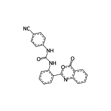 N#Cc1ccc(NC(=O)Nc2ccccc2-c2nc3ccccc3c(=O)o2)cc1